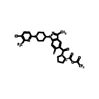 Cc1nn(C2CCN(c3ccc(Cl)c(C(F)(F)F)n3)CC2)c2cc(F)c(C(=O)N3CCC[C@H]3C(=O)OC(=O)C(F)(F)F)cc12